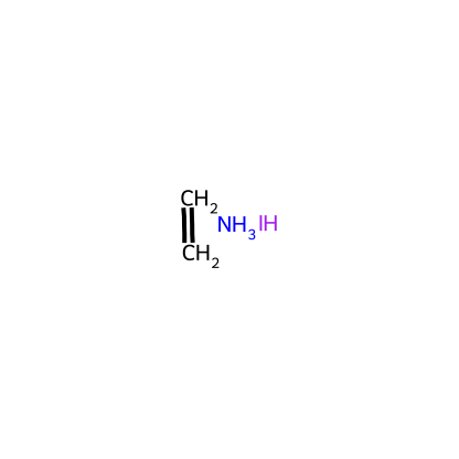 C=C.I.N